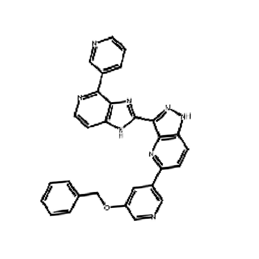 c1ccc(COc2cncc(-c3ccc4[nH]nc(-c5nc6c(-c7cccnc7)nccc6[nH]5)c4n3)c2)cc1